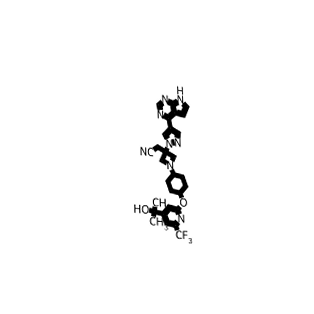 CC(C)(O)c1cc(OC2CCC(N3CC(CC#N)(n4cc(-c5ncnc6[nH]ccc56)cn4)C3)CC2)nc(C(F)(F)F)c1